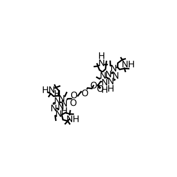 CCN(C1=NC(NCC(=O)OCCOCCOC(=O)CNC2(N(CC)C3CC(C)(C)NC(C)(C)C3)N=C(N(CC)C3CC(C)(C)NC(C)(C)C3)N=CN2)(N(CC)C2CC(C)(C)NC(C)(C)C2)NC=N1)C1CC(C)(C)NC(C)(C)C1